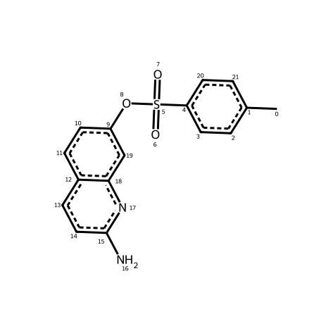 Cc1ccc(S(=O)(=O)Oc2ccc3ccc(N)nc3c2)cc1